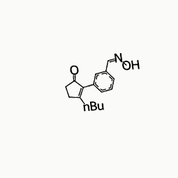 CCCCC1=C(c2cccc(/C=N\O)c2)C(=O)CC1